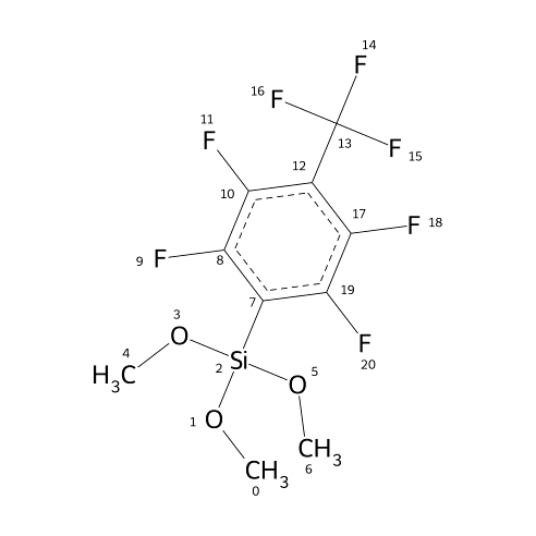 CO[Si](OC)(OC)c1c(F)c(F)c(C(F)(F)F)c(F)c1F